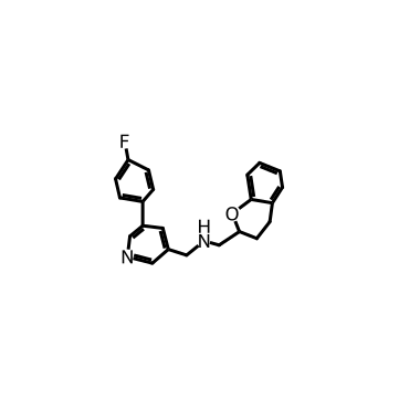 Fc1ccc(-c2cncc(CNCC3CCc4ccccc4O3)c2)cc1